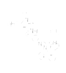 Cc1c(C2(c3cccc(NC(=O)c4cc(C=O)cn(CC(F)(F)F)c4=O)c3)CC(C)C2)ncn1C(c1ccccc1)(c1ccccc1)c1ccccc1